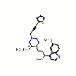 CNC(CC[C@@H]1CCN(CC#Cc2cccs2)C[C@@H]1CC(=O)O)c1ccnc2ccc(OC)cc12